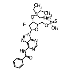 CC[Si](CC)(CC)O[C@H]1[C@@H](F)[C@H](n2cnc3c(NC(=O)c4ccccc4)ncnc32)O[C@@H]1COP(O)(O)=S